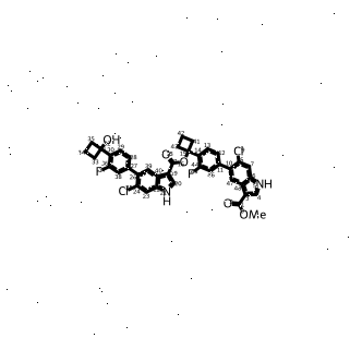 COC(=O)c1c[nH]c2cc(Cl)c(-c3ccc(C4(OC(=O)c5c[nH]c6cc(Cl)c(-c7ccc(C8(O)CCC8)c(F)c7)cc56)CCC4)c(F)c3)cc12